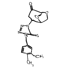 Cc1ccc(-n2nnn(C3CC(=O)C4OCC3O4)c2=S)cc1C